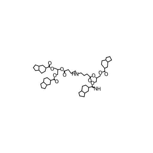 N=C(OCC(COC(=O)C1CCC2CCCC2C1)OC(=O)CCCNCCCC(=O)OC(COC(=O)C1CCC2CCCC2C1)COC(=O)C1CCC2CCCC2C1)C1CCC2CCCC2C1